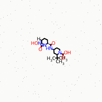 CC(C)(C)C1CC(NC(=O)[C@@H]2CC[C@@H]3CN2C(=O)N3O)CCN1C(=O)O